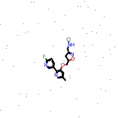 Cc1cnc(-c2ccc(F)nc2)c(OCC2CC(CNCl)=NO2)c1